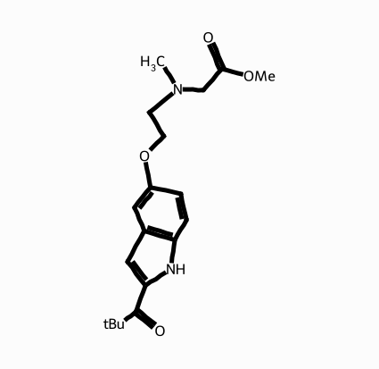 COC(=O)CN(C)CCOc1ccc2[nH]c(C(=O)C(C)(C)C)cc2c1